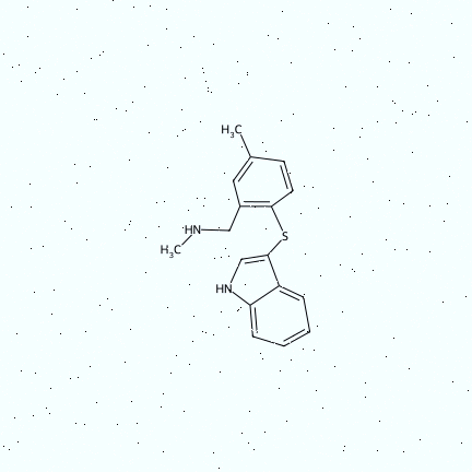 CNCc1cc(C)ccc1Sc1c[nH]c2ccccc12